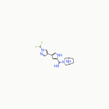 N=C(c1cc(-c2cnn(C(F)F)c2)c[nH]1)N1CC2CCC(C1)N2